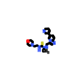 CN(/N=C/c1cnc2ccc(-c3cccnc3)cn12)C(=S)NCCN1CCOCC1